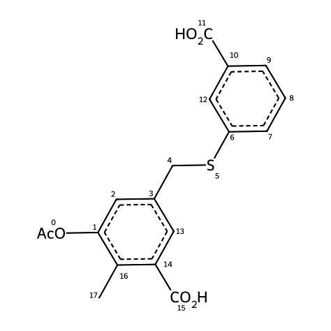 CC(=O)Oc1cc(CSc2cccc(C(=O)O)c2)cc(C(=O)O)c1C